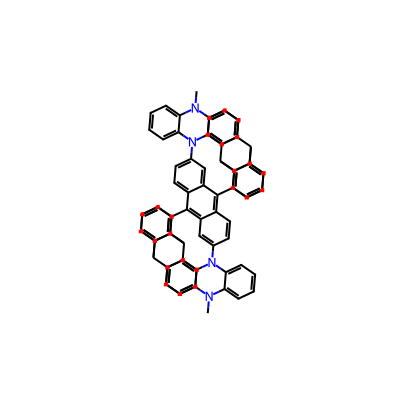 CN1c2ccccc2N(c2ccc3c(-c4cccc5c4C4c6ccccc6C5c5ccccc54)c4cc(N5c6ccccc6N(C)c6ccccc65)ccc4c(-c4cccc5c4C4c6ccccc6C5c5ccccc54)c3c2)c2ccccc21